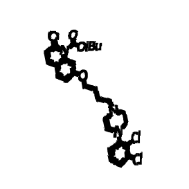 CC(C)COC(=O)n1c(=O)ccc2ccc(OCCCCN3CCN(c4cccc(Cl)c4Cl)CC3)cc21